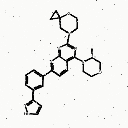 C[C@H]1COCCN1c1nc(N2CCOC3(CC3)C2)nc2nc(-c3cccc(-c4cc[nH]n4)c3)ccc12